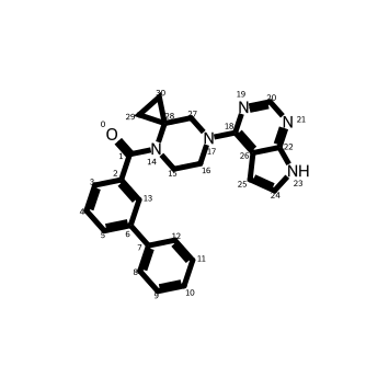 O=C(c1cccc(-c2ccccc2)c1)N1CCN(c2ncnc3[nH]ccc23)CC12CC2